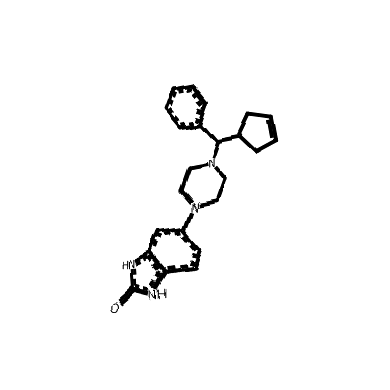 O=c1[nH]c2ccc(N3CCN(C(c4ccccc4)C4CC=CC4)CC3)cc2[nH]1